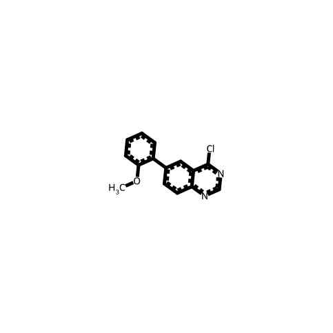 COc1ccccc1-c1ccc2ncnc(Cl)c2c1